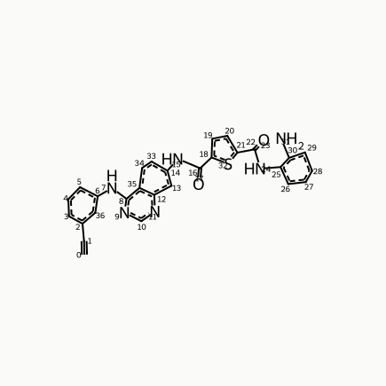 C#Cc1cccc(Nc2ncnc3cc(NC(=O)c4ccc(C(=O)Nc5ccccc5N)s4)ccc23)c1